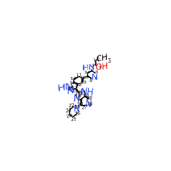 CCC(O)Nc1cncc(-c2ccc3[nH]nc(-c4nc5c(N6CCCCC6)cncc5[nH]4)c3c2)c1